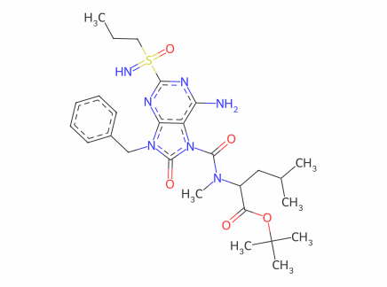 CCCS(=N)(=O)c1nc(N)c2c(n1)n(Cc1ccccc1)c(=O)n2C(=O)N(C)C(CC(C)C)C(=O)OC(C)(C)C